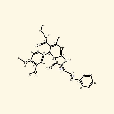 CCOC(=O)C1=C(C)N=c2s/c(=C\C=C\c3ccccc3)c(=O)n2C1c1ccc(OC)c(OC)c1